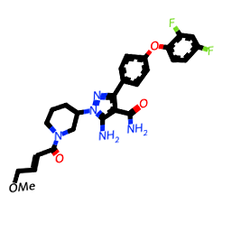 COC/C=C/C(=O)N1CCCC(n2nc(-c3ccc(Oc4ccc(F)cc4F)cc3)c(C(N)=O)c2N)C1